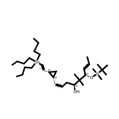 C/C=C/[C@H](O[Si](C)(C)C(C)(C)C)C(C)(C)[C@@H](O)C/C=C\[C@H]1C[C@H]1/C=[CH]/[Sn]([CH2]CCC)([CH2]CCC)[CH2]CCC